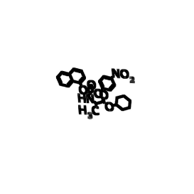 CC(NP(=O)(Oc1ccc([N+](=O)[O-])cc1)Oc1cccc2ccccc12)C(=O)OC1CCCCC1